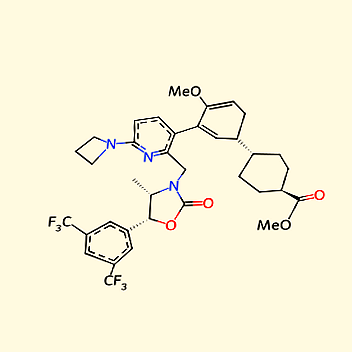 COC1=CCC([C@H]2CC[C@H](C(=O)OC)CC2)C=C1c1ccc(N2CCC2)nc1CN1C(=O)O[C@H](c2cc(C(F)(F)F)cc(C(F)(F)F)c2)[C@@H]1C